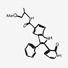 COCC(C)NC(=O)c1ccc2[nH]c(-c3ccc[nH]c3=O)c(-c3ccccc3)c2c1